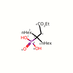 CCCCCCC(CCCCCC)(CC(=O)OCC)P(=O)(O)O